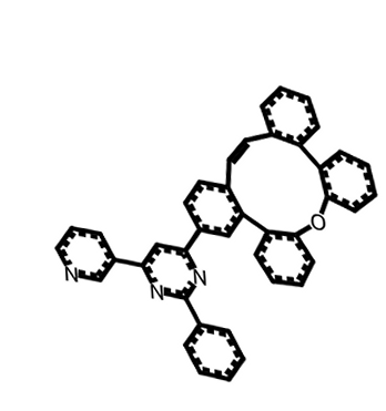 C1=C\c2ccc(-c3cc(-c4cccnc4)nc(-c4ccccc4)n3)cc2-c2ccccc2Oc2ccccc2-c2ccccc2/1